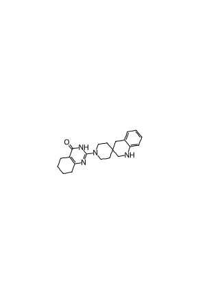 O=c1[nH]c(N2CCC3(CC2)CNc2ccccc2C3)nc2c1CCCC2